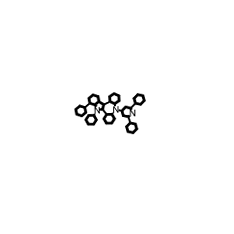 c1ccc(-c2cc(N3c4ccccc4-c4c(n(-c5ccccc5)c5c(-c6ccccc6)cccc45)-c4ccccc43)cc(-c3ccccc3)n2)cc1